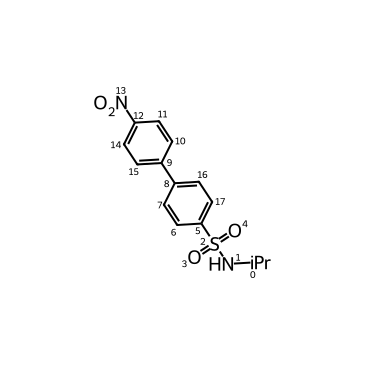 CC(C)NS(=O)(=O)c1ccc(-c2ccc([N+](=O)[O-])cc2)cc1